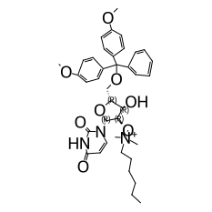 CCCCCC[N+](C)(C)O[C@@H]1[C@H](O)[C@@H](COC(c2ccccc2)(c2ccc(OC)cc2)c2ccc(OC)cc2)O[C@H]1n1ccc(=O)[nH]c1=O